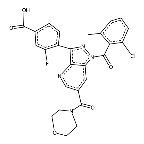 Cc1cccc(Cl)c1C(=O)n1nc(-c2ccc(C(=O)O)cc2F)c2ncc(C(=O)N3CCOCC3)cc21